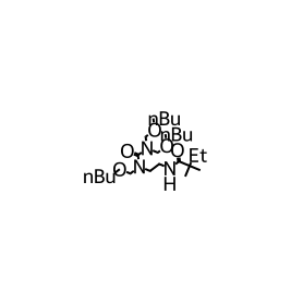 CCCCOCN(CCNC(=O)C(C)(C)CC)C(=O)N(COCCCC)COCCCC